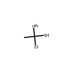 CCCC(C)(S)CC